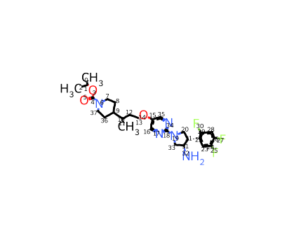 CC(C)OC(=O)N1CCC([C@H](C)CCOc2cnc(N3C[C@H](c4cc(F)c(F)cc4F)[C@@H](N)C3)nc2)CC1